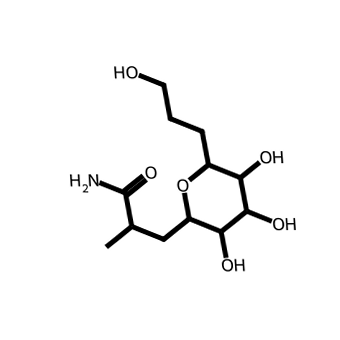 CC(CC1OC(CCCO)C(O)C(O)C1O)C(N)=O